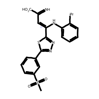 CC(C)c1ccccc1N/C(=C\C(=N)C(=O)O)c1nnc(-c2cccc(S(C)(=O)=O)c2)s1